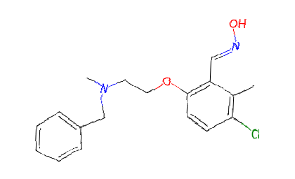 Cc1c(Cl)ccc(OCCN(C)Cc2ccccc2)c1/C=N/O